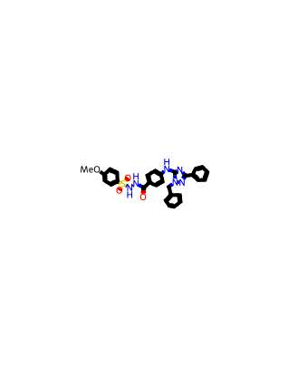 COc1ccc(S(=O)(=O)NNC(=O)c2ccc(Nc3nc(-c4ccccc4)nn3Cc3ccccc3)cc2)cc1